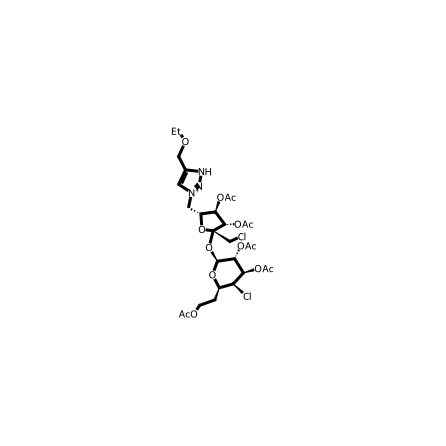 CCOCc1c[n+](C[C@H]2O[C@@](CCl)(O[C@@H]3O[C@H](CCOC(C)=O)[C@H](Cl)[C@H](OC(C)=O)[C@H]3OC(C)=O)[C@@H](OC(C)=O)[C@@H]2OC(C)=O)n[nH]1